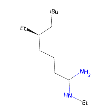 CCNC(N)CCC[C@@H](CC)CC(C)CC